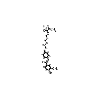 C=C(C)C(=O)OCCCCCCOc1ccc(OC(=O)c2ccc(Br)c(C)c2)cc1